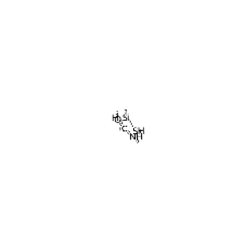 N=C=O.[SiH3]S